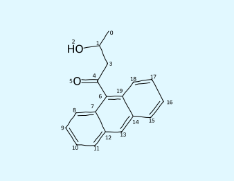 CC(O)CC(=O)c1c2ccccc2cc2ccccc12